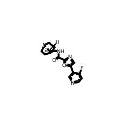 O=C(N[C@H]1CN2CCC1CC2)c1ncc(-c2cnccc2F)o1